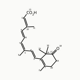 CC1=C(/C=C/C(C)=C\C=C\C(C)=C\C(=O)O)C(C)(C)C(=O)CC1